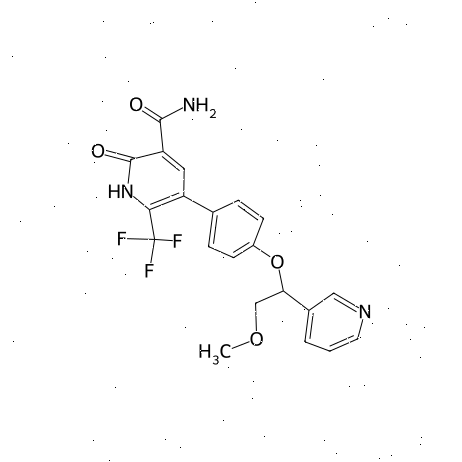 COCC(Oc1ccc(-c2cc(C(N)=O)c(=O)[nH]c2C(F)(F)F)cc1)c1cccnc1